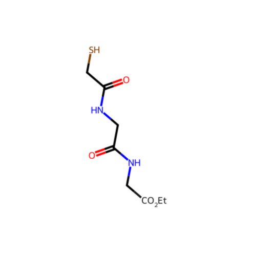 CCOC(=O)CNC(=O)CNC(=O)CS